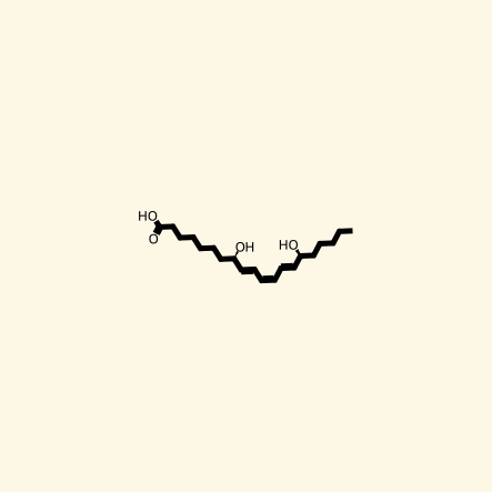 CCCCC[C@H](O)/C=C/C=C\C=C\[C@@H](O)CCCCCCC(=O)O